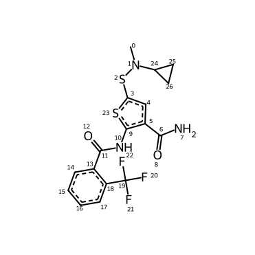 CN(Sc1cc(C(N)=O)c(NC(=O)c2ccccc2C(F)(F)F)s1)C1CC1